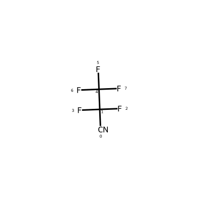 N#CC(F)(F)C(F)(F)F